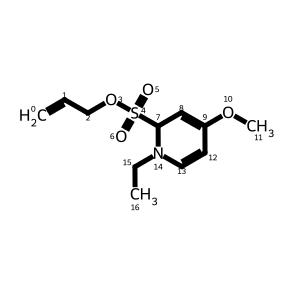 C=CCOS(=O)(=O)C1C=C(OC)C=CN1CC